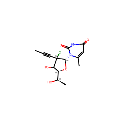 CC#C[C@@]1(Cl)C(O)[C@@H]([C@@H](C)O)O[C@H]1n1c(C)cc(=O)[nH]c1=O